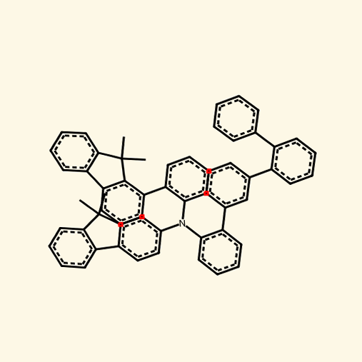 CC1(C)c2ccccc2-c2ccc(N(c3ccccc3-c3cccc(-c4ccccc4-c4ccccc4)c3)c3ccccc3-c3cccc4c3C(C)(C)c3ccccc3-4)cc21